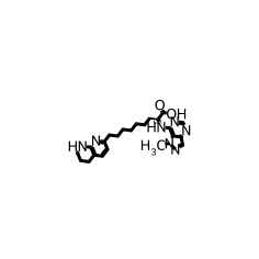 Cn1ncc2ncnc(N[C@@H](CCCCCCCc3ccc4c(n3)NCCC4)C(=O)O)c21